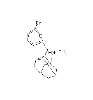 CNC12CC3CC(CC(C3)C1Cc1cccc(Br)c1)C2